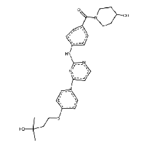 CC(C)(O)CCSc1ccc(-c2ccnc(Nc3ccc(C(=O)N4CCC(O)CC4)cc3)n2)cc1